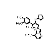 COc1c(C)ccc(C(O)C(Cn2cc3nccc(C(=O)O)c3n2)OC2CCCC2)c1Cl